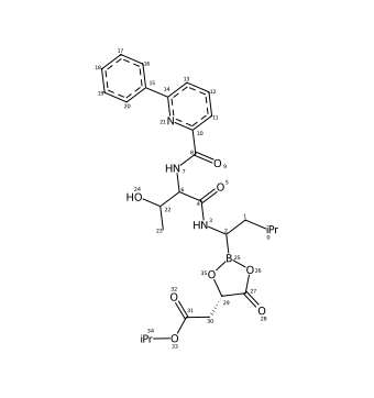 CC(C)CC(NC(=O)C(NC(=O)c1cccc(-c2ccccc2)n1)C(C)O)B1OC(=O)[C@H](CC(=O)OC(C)C)O1